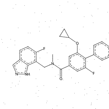 CN(Cc1c(F)ccc2cn[nH]c12)C(=O)c1cc(F)c(-c2ccccc2)c(OC2CC2)c1